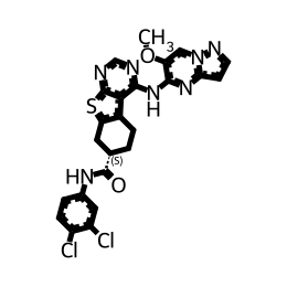 COc1cn2nccc2nc1Nc1ncnc2sc3c(c12)CC[C@H](C(=O)Nc1ccc(Cl)c(Cl)c1)C3